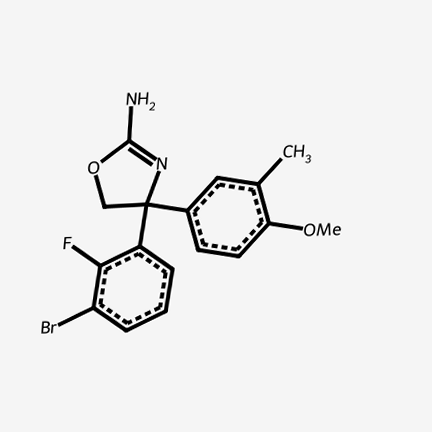 COc1ccc(C2(c3cccc(Br)c3F)COC(N)=N2)cc1C